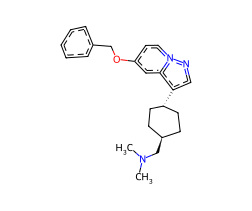 CN(C)C[C@H]1CC[C@H](c2cnn3ccc(OCc4ccccc4)cc23)CC1